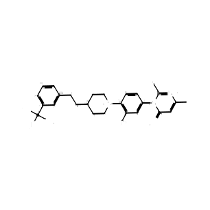 Cc1cc(=O)n(-c2ccc(N3CCC(CCc4cccc(C(F)(F)F)c4)CC3)c(Cl)c2)c(C)n1